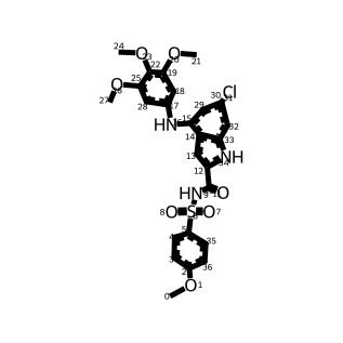 COc1ccc(S(=O)(=O)NC(=O)c2cc3c(Nc4cc(OC)c(OC)c(OC)c4)cc(Cl)cc3[nH]2)cc1